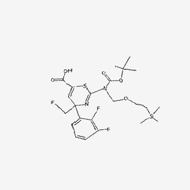 CC(C)(C)OC(=O)N(COCC[Si](C)(C)C)C1=NC(CF)(c2cccc(F)c2F)C=C(C(=O)O)S1